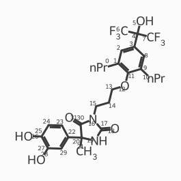 CCCc1cc(C(O)(C(F)(F)F)C(F)(F)F)cc(CCC)c1OCCCN1C(=O)NC(C)(c2ccc(O)c(O)c2)C1=O